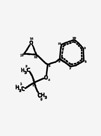 CC(C)(C)OC(c1ccccc1)C1CO1